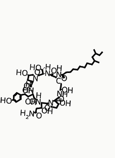 CCC(C)CC(C)CCCCCCCCC(=O)N[C@H]1CC[C@@H](O)NC(=O)[C@@H]2[C@@H](O)CCN2C(=O)[C@H]([C@H](O)CC(N)=O)NC(=O)[C@H]([C@H](O)[C@@H](O)c2ccc(O)cc2)NC(=O)[C@@H]2C[C@@H](O)CN2C(=O)[C@H]([C@@H](C)O)NC1=O